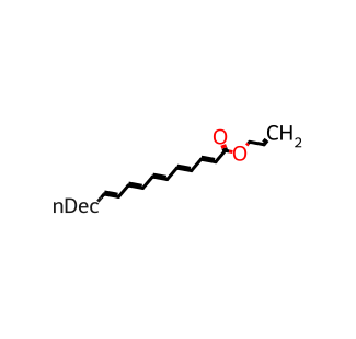 C=CCOC(=O)/C=C/C=C/C=C/C=C/C=C/CCCCCCCCCC